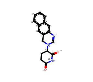 O=C1CCC(N2C=Nc3cc4ccccc4cc3C2)C(=O)N1